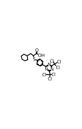 O=C(O)C(CC1CCCCC1)Sc1ccc(-c2nc(C(Cl)(Cl)Cl)nc(C(Cl)(Cl)Cl)n2)cc1